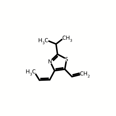 C=Cc1sc(C(C)C)nc1/C=C\C